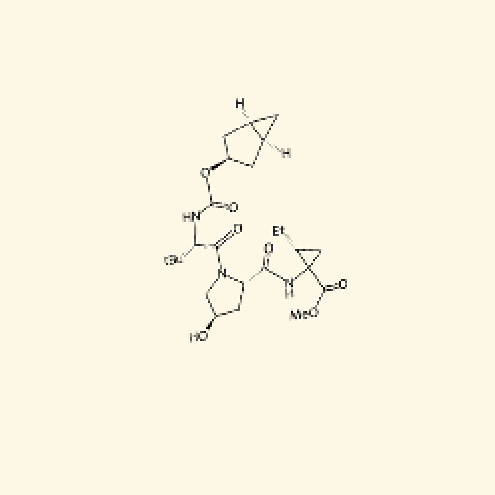 CC[C@@H]1CC1(NC(=O)[C@@H]1C[C@@H](O)CN1C(=O)[C@@H](NC(=O)O[C@@H]1C[C@@H]2C[C@@H]2C1)C(C)(C)C)C(=O)OC